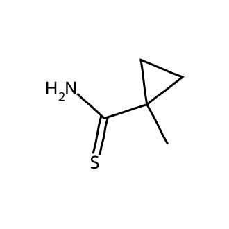 CC1(C(N)=S)CC1